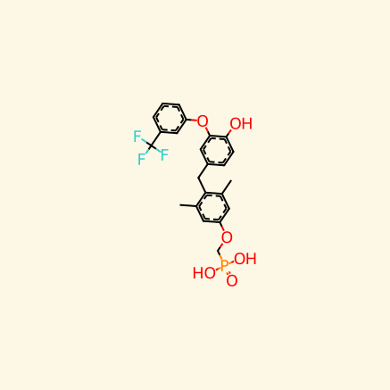 Cc1cc(OCP(=O)(O)O)cc(C)c1Cc1ccc(O)c(Oc2cccc(C(F)(F)F)c2)c1